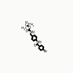 CC(C)(C)OC(=O)NCc1ccc(NC(=O)c2ccc(Br)cc2)cc1